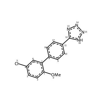 COc1ccc(Cl)cc1-c1ccc(-c2nnn[nH]2)cc1